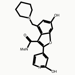 CNC(=O)c1c(-c2ccnc(O)c2)oc2cc(O)cc(CN3CCCCC3)c12